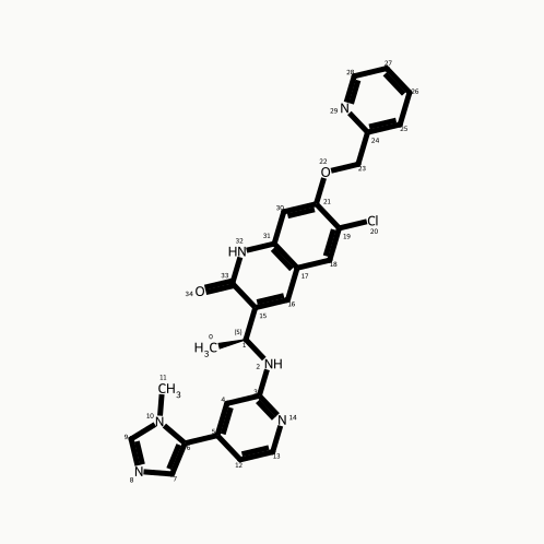 C[C@H](Nc1cc(-c2cncn2C)ccn1)c1cc2cc(Cl)c(OCc3ccccn3)cc2[nH]c1=O